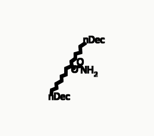 CCCCCCCCCCCCCCCCCC(CCCCCCCCCCCCCCCC)OC(N)=O